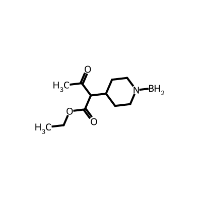 BN1CCC(C(C(C)=O)C(=O)OCC)CC1